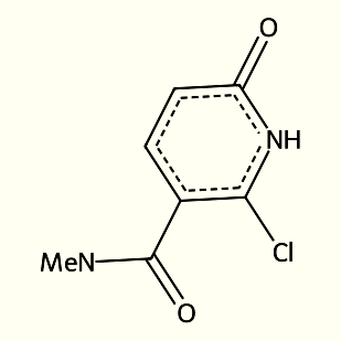 CNC(=O)c1ccc(=O)[nH]c1Cl